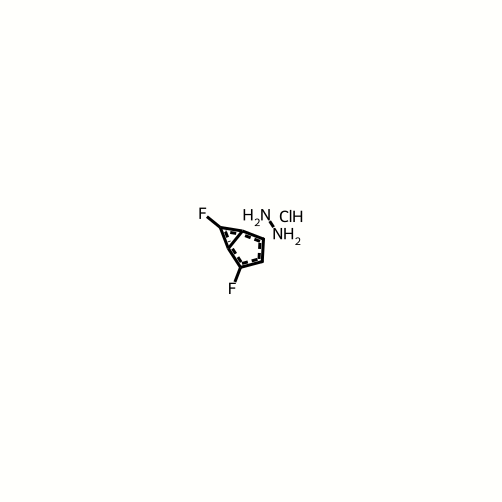 Cl.Fc1ccc2c(F)c1-2.NN